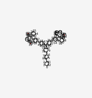 c1ccc(-c2ccc(-c3ccc(N(c4ccc(-c5ccc6c(c5)-c5ccccc5C65c6ccccc6Oc6ccccc65)cc4)c4ccc(-c5ccc6c(c5)-c5ccccc5C65c6ccccc6Oc6ccccc65)cc4)cc3)cc2)cc1